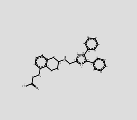 O=C(O)COc1cccc2c1CCC(NCc1nc(-c3ccccc3)c(-c3ccccc3)o1)C2